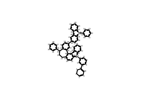 C1=CCCC(c2cccc(-n3c4ccccc4c4c5c(ccc43)CCC(c3ccccc3)c3ccc(-c4ccc6c(c4)c4ccccc4n6-c4ccccc4)cc3-5)c2)=C1